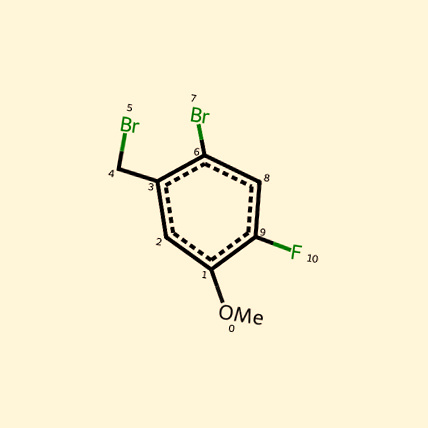 COc1cc(CBr)c(Br)cc1F